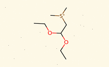 CCOC(C[S+](C)C)OCC